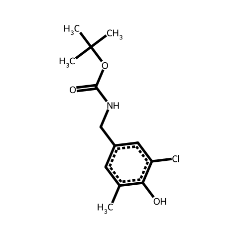 Cc1cc(CNC(=O)OC(C)(C)C)cc(Cl)c1O